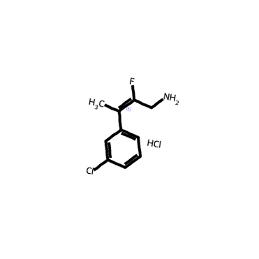 C/C(=C(\F)CN)c1cccc(Cl)c1.Cl